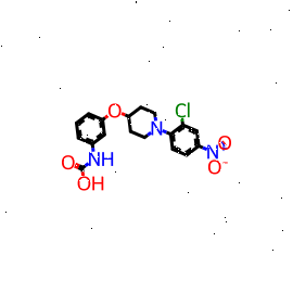 O=C(O)Nc1cccc(OC2CCN(c3ccc([N+](=O)[O-])cc3Cl)CC2)c1